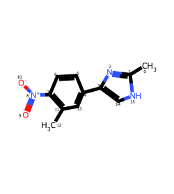 Cc1nc(-c2ccc([N+](=O)[O-])c(C)c2)c[nH]1